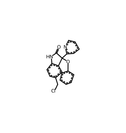 O=C1Nc2ccc(CCl)cc2C1(Oc1ccccc1)c1ccccn1